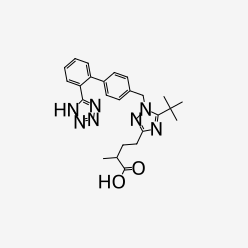 CC(CCc1nc(C(C)(C)C)n(Cc2ccc(-c3ccccc3-c3nnn[nH]3)cc2)n1)C(=O)O